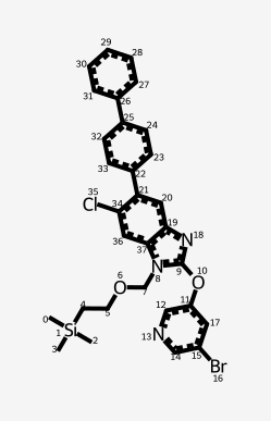 C[Si](C)(C)CCOCn1c(Oc2cncc(Br)c2)nc2cc(-c3ccc(-c4ccccc4)cc3)c(Cl)cc21